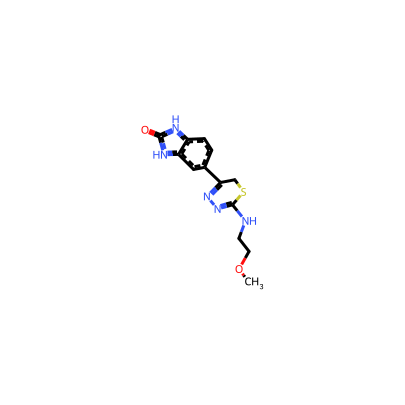 COCCNC1=NN=C(c2ccc3[nH]c(=O)[nH]c3c2)CS1